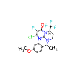 COc1ccc(C(C)N2CC[C@H](C(F)(F)F)n3c2nc(Cl)c(F)c3=O)cc1